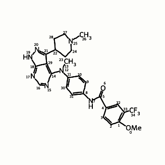 COc1ccc(C(=O)Nc2ccc(N(C)c3ncnc4[nH]nc(C5CCN(C)CC5)c34)cc2)cc1C(F)(F)F